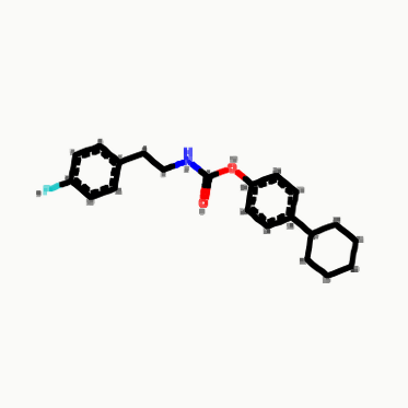 O=C(NCCc1ccc(F)cc1)Oc1ccc(C2CCCCC2)cc1